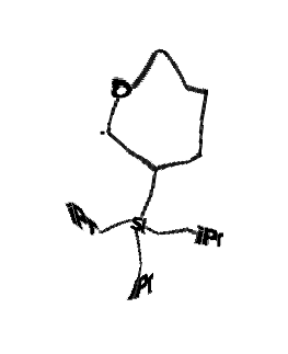 CC(C)[Si](C(C)C)(C(C)C)C1[CH]OCCC1